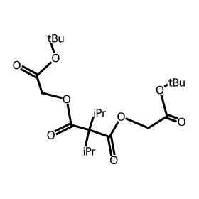 CC(C)C(C(=O)OCC(=O)OC(C)(C)C)(C(=O)OCC(=O)OC(C)(C)C)C(C)C